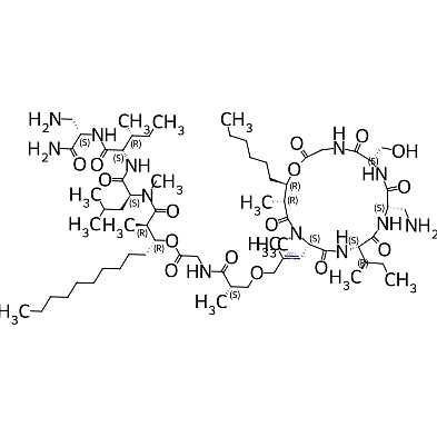 CCCCCCCCCC[C@@H](OC(=O)CNC(=O)[C@@H](C)COC/C(C)=C/[C@H]1C(=O)N[C@@H]([C@H](C)CC)C(=O)N[C@@H](CN)C(=O)N[C@@H](CO)C(=O)NCC(=O)O[C@H](CCCCCC)[C@@H](C)C(=O)N1C)[C@@H](C)C(=O)N(C)[C@@H](CC(C)C)C(=O)N[C@H](C(=O)N[C@@H](CN)C(N)=O)[C@H](C)CC